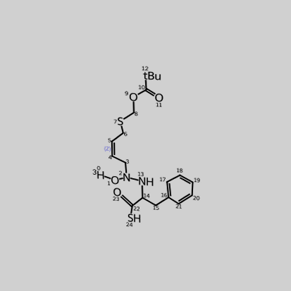 [3H]ON(C/C=C\CSCOC(=O)C(C)(C)C)NC(Cc1ccccc1)C(=O)S